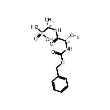 C[C@H](NC(=O)OCc1ccccc1)C(=O)N[C@@H](C)P(=O)(O)O